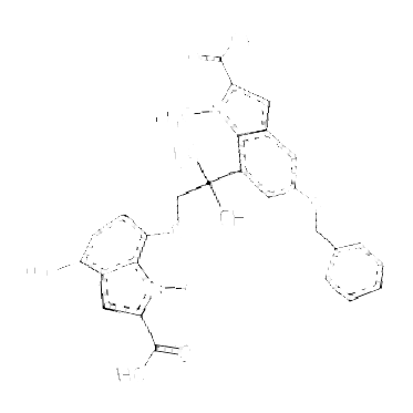 Cc1ccc(OCC(C)(C)c2cc(OCc3ccccc3)cc3cc(C(=O)O)n(C)c23)c2c1cc(C(=O)O)n2C